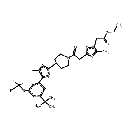 CCOC(=O)Cc1sc(CC(=O)N2CCC(c3nc(-c4cc(SC(F)(F)F)cc(C(C)(C)C)c4)c(Cl)s3)CC2)nc1C